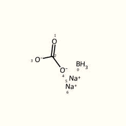 B.O=C([O-])[O-].[Na+].[Na+]